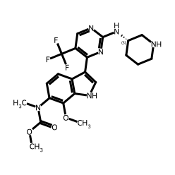 COC(=O)N(C)c1ccc2c(-c3nc(N[C@H]4CCCNC4)ncc3C(F)(F)F)c[nH]c2c1OC